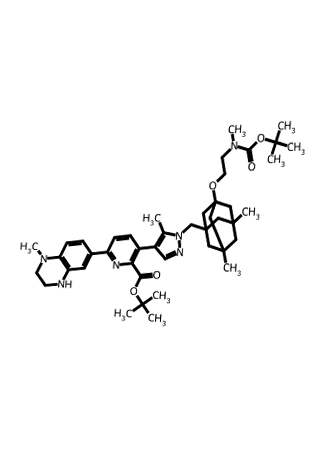 Cc1c(-c2ccc(-c3ccc4c(c3)NCCN4C)nc2C(=O)OC(C)(C)C)cnn1CC12CC3(C)CC(C)(C1)CC(OCCN(C)C(=O)OC(C)(C)C)(C3)C2